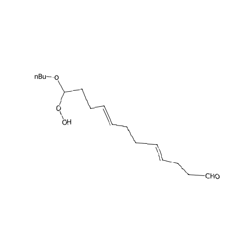 CCCCOC(CCC=CCCC=CCCC=O)OO